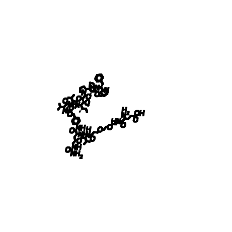 CC[C@H](C)[C@@H]([C@@H](CC(=O)N1CCC[C@H]1[C@H](OC)[C@@H](C)C(=O)N[C@@H](Cc1ccccc1)c1nccs1)OC)N(C)C(=O)[C@@H](NC(=O)[C@H](C(C)C)N(C)C(=O)OCc1ccc(NC(=O)[C@H](CCCNC(N)=O)NC(=O)[C@@H](NC(=O)CCOCCOCCNC(=O)[C@@H](N)CCC(=O)O)C(C)C)cc1)C(C)C